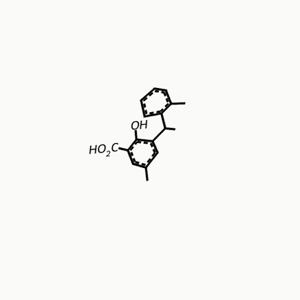 Cc1cc(C(=O)O)c(O)c(C(C)c2ccccc2C)c1